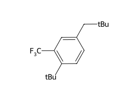 CC(C)(C)Cc1ccc(C(C)(C)C)c(C(F)(F)F)c1